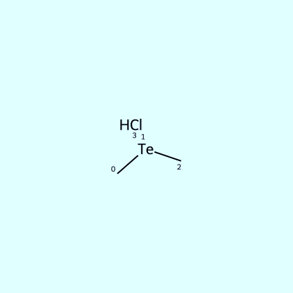 C[Te]C.Cl